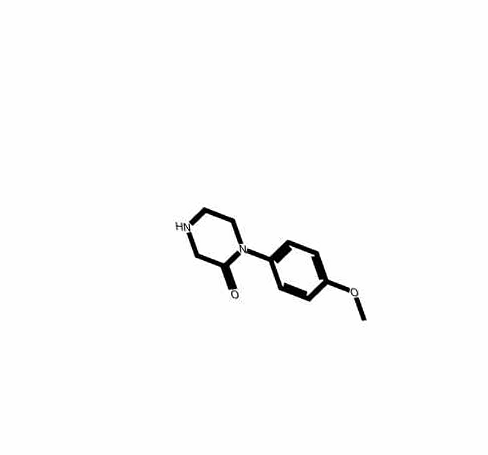 COc1ccc(N2CCNCC2=O)cc1